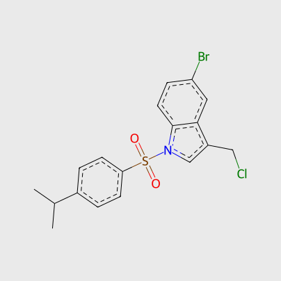 CC(C)c1ccc(S(=O)(=O)n2cc(CCl)c3cc(Br)ccc32)cc1